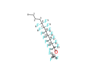 CCCCC(F)(F)C(F)(F)C(F)(F)C(F)(F)C(F)(F)C(F)(F)C(F)(F)O[Si](F)(F)F